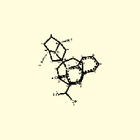 O=c1c(C(O)O)nc2ccccc2n1[C@H]1C[C@H]2CC[C@@H](C1)N2C1CCCCCCC1